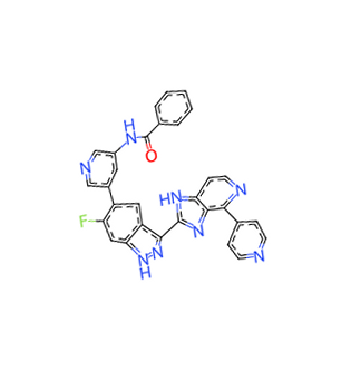 O=C(Nc1cncc(-c2cc3c(-c4nc5c(-c6ccncc6)nccc5[nH]4)n[nH]c3cc2F)c1)c1ccccc1